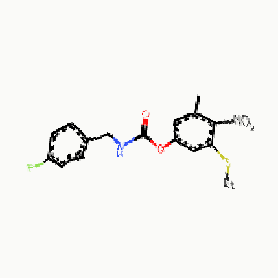 CCSc1cc(OC(=O)NCc2ccc(F)cc2)cc(C)c1[N+](=O)[O-]